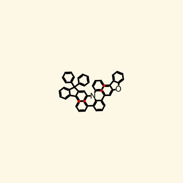 c1ccc(-c2cccc(-c3ccc4c(c3)oc3ccccc34)c2N(c2ccccc2)c2ccc3c(c2)C(c2ccccc2)(c2ccccc2)c2ccccc2-3)cc1